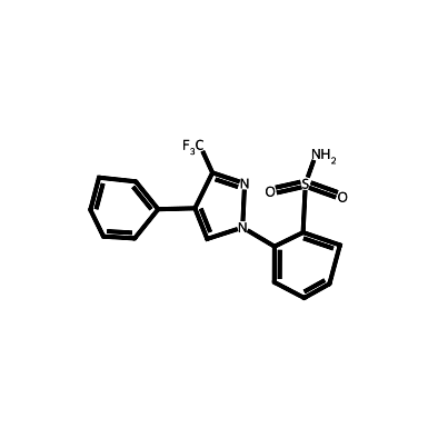 NS(=O)(=O)c1ccccc1-n1cc(-c2ccccc2)c(C(F)(F)F)n1